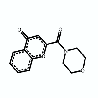 O=C(c1cc(=O)c2ccccc2o1)N1CCOCC1